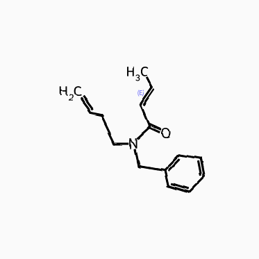 C=CCCN(Cc1ccccc1)C(=O)/C=C/C